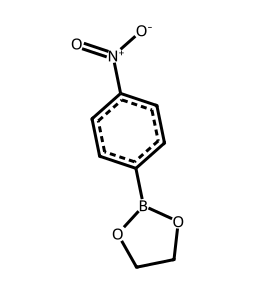 O=[N+]([O-])c1ccc(B2OCCO2)cc1